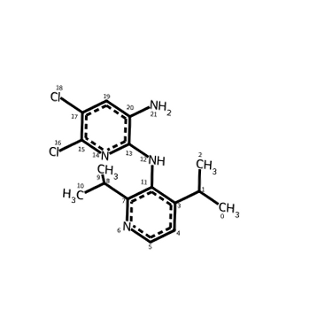 CC(C)c1ccnc(C(C)C)c1Nc1nc(Cl)c(Cl)cc1N